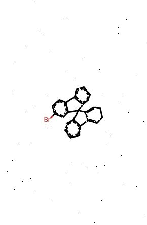 Brc1ccc2c(c1)C1(C3=CCCC=C3c3ccccc31)c1ccccc1-2